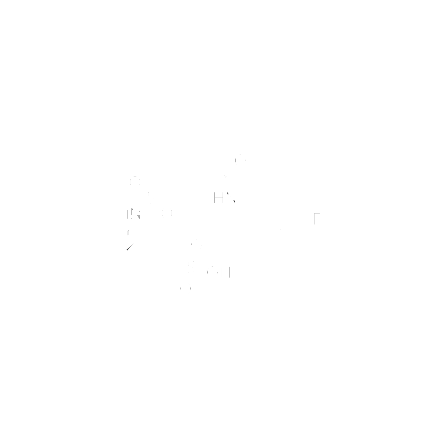 Cc1cc(NC(=O)c2cccc(S(=O)(=O)N[C@H](C)CCS(=O)(=O)O)c2)ccc1F